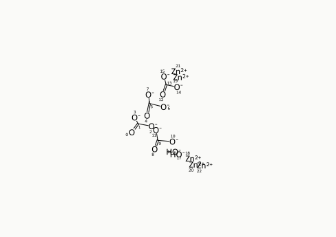 O=C([O-])[O-].O=C([O-])[O-].O=C([O-])[O-].O=C([O-])[O-].[OH-].[OH-].[Zn+2].[Zn+2].[Zn+2].[Zn+2].[Zn+2]